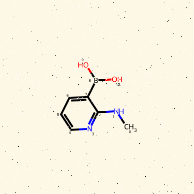 CNc1ncccc1B(O)O